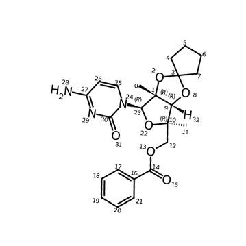 C[C@@]12OC3(CCCC3)O[C@@H]1[C@@](C)(COC(=O)c1ccccc1)O[C@H]2n1ccc(N)nc1=O